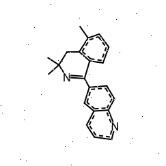 Cc1cccc2c1CC(C)(C)N=C2c1ccc2ncccc2c1